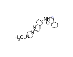 CCN1CCN(c2ccc3cc(NC(=O)/C=C\c4ccccc4)ccc3n2)CC1